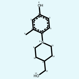 Cc1cc(O)ccc1N1CCC(CO)CC1